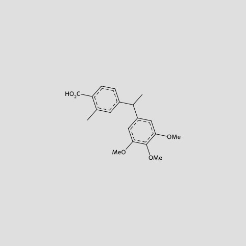 COc1cc(C(C)c2ccc(C(=O)O)c(C)c2)cc(OC)c1OC